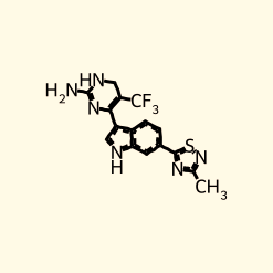 Cc1nsc(-c2ccc3c(C4=C(C(F)(F)F)CNC(N)=N4)c[nH]c3c2)n1